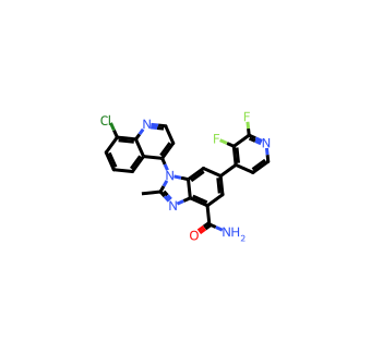 Cc1nc2c(C(N)=O)cc(-c3ccnc(F)c3F)cc2n1-c1ccnc2c(Cl)cccc12